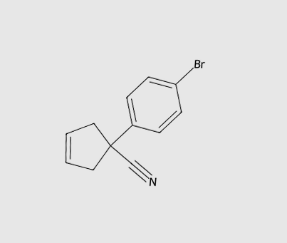 N#CC1(c2ccc(Br)cc2)CC=CC1